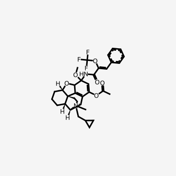 COC1(NC(=O)C(=Cc2ccccc2)OC(F)(F)F)C=C(OC(C)=O)C2=C3C1O[C@H]1CCC[C@H]4[C@@H](C2)[N+](C)(CC2CC2)CC[C@]314